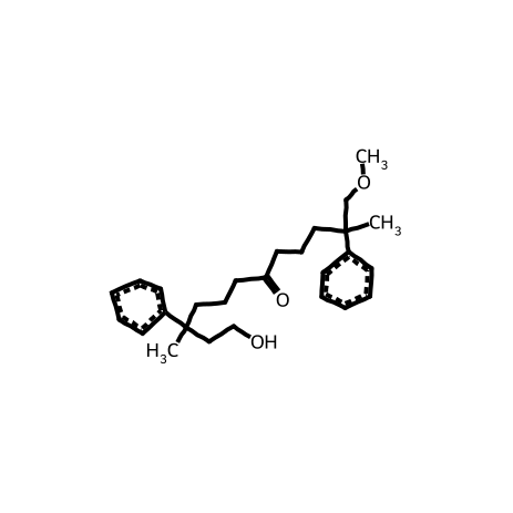 COCC(C)(CCCC(=O)CCCC(C)(CCO)c1ccccc1)c1ccccc1